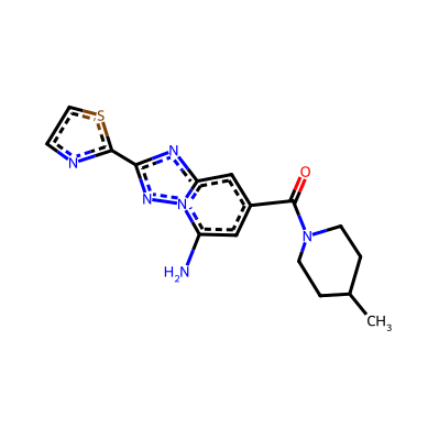 CC1CCN(C(=O)c2cc(N)n3nc(-c4nccs4)nc3c2)CC1